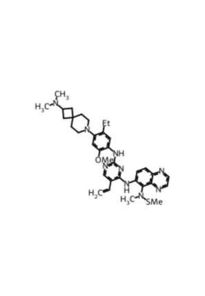 C=Cc1cnc(Nc2cc(CC)c(N3CCC4(CC3)CC(N(C)C)C4)cc2OC)nc1Nc1ccc2nccnc2c1N(C)SC